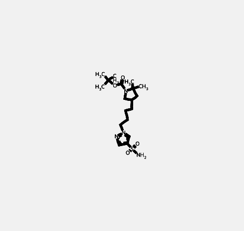 CC(C)(C)OC(=O)N1CC(CCCCn2cc(S(N)(=O)=O)cn2)CC1(C)C